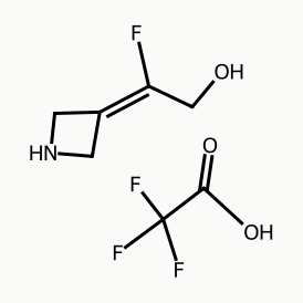 O=C(O)C(F)(F)F.OCC(F)=C1CNC1